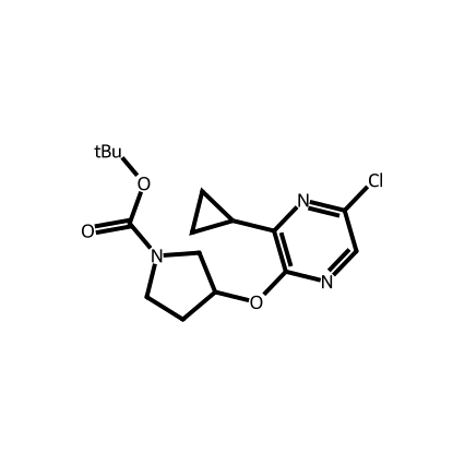 CC(C)(C)OC(=O)N1CCC(Oc2ncc(Cl)nc2C2CC2)C1